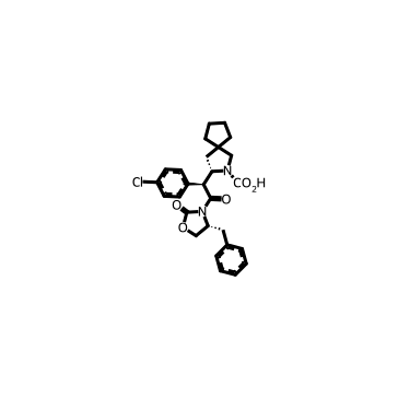 O=C(O)N1CC2(CCCC2)C[C@H]1[C@@H](C(=O)N1C(=O)OC[C@H]1Cc1ccccc1)c1ccc(Cl)cc1